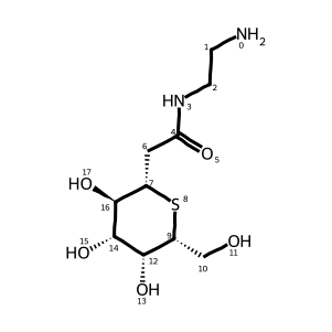 NCCNC(=O)C[C@@H]1S[C@H](CO)[C@H](O)[C@H](O)[C@H]1O